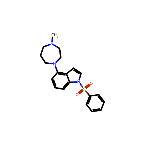 CN1CCCN(c2cccc3c2ccn3S(=O)(=O)c2ccccc2)CC1